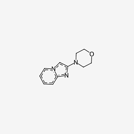 c1ccn2cc(N3CCOCC3)nc2c1